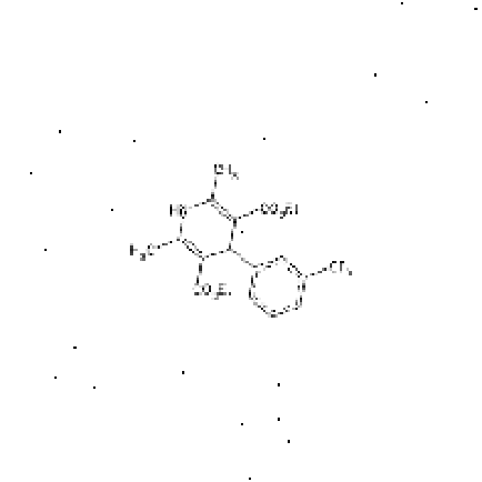 CCOC(=O)C1=C(C)NC(C)=C(C(=O)OCC)C1c1cccc(C(F)(F)F)c1